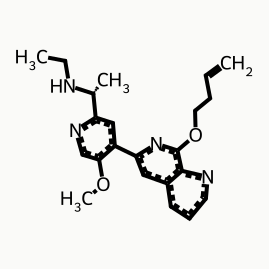 C=CCCOc1nc(-c2cc([C@@H](C)NCC)ncc2OC)cc2cccnc12